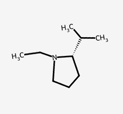 CCN1CCC[C@H]1C(C)C